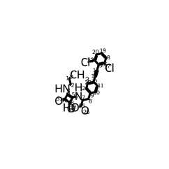 CCCNc1c(NC(Cc2ccc(C#Cc3c(Cl)cccc3Cl)cc2)C(=O)O)c(=O)c1=O